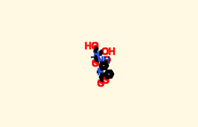 COc1ccc(N(C)c2cc(=O)oc3ccccc23)cc1NC(=O)[C@H](C)N(CCO)CCO